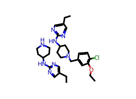 CCOc1cc(CN2CCC(Nc3ncc(CC)cn3)CC2)ccc1Cl.CCc1cnc(NC2CCNCC2)nc1